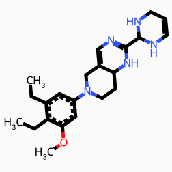 CCc1cc(N2CCC3NC(C4NC=CCN4)=NC=C3C2)cc(OC)c1CC